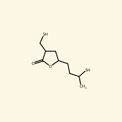 CC(S)CCC1CC(CS)C(=O)O1